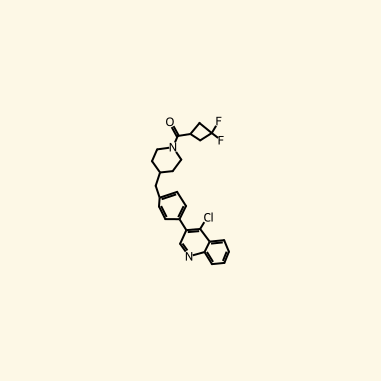 O=C(C1CC(F)(F)C1)N1CCC(Cc2ccc(-c3cnc4ccccc4c3Cl)cc2)CC1